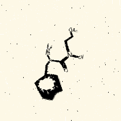 CC(=O)OCCN(C#N)C(=O)N(Cc1ccccc1)C(C)=O